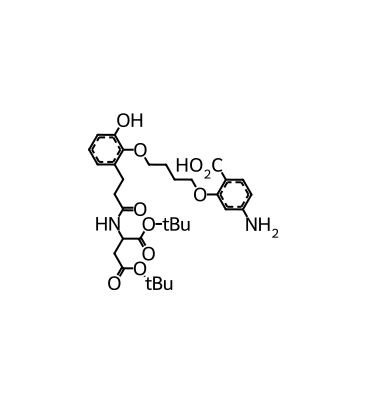 CC(C)(C)OC(=O)CC(NC(=O)CCc1cccc(O)c1OCCCCOc1cc(N)ccc1C(=O)O)C(=O)OC(C)(C)C